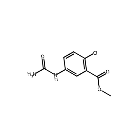 COC(=O)c1cc(NC(N)=O)ccc1Cl